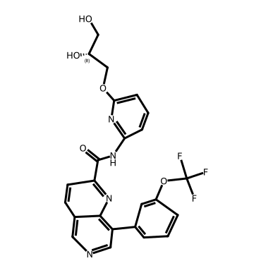 O=C(Nc1cccc(OC[C@H](O)CO)n1)c1ccc2cncc(-c3cccc(OC(F)(F)F)c3)c2n1